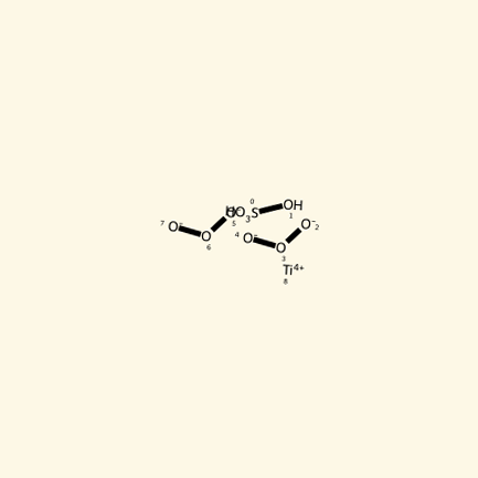 O=S(=O)(O)O.[O-]O[O-].[O-]O[O-].[Ti+4]